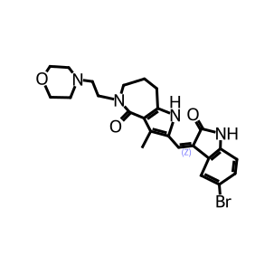 Cc1c(/C=C2\C(=O)Nc3ccc(Br)cc32)[nH]c2c1C(=O)N(CCN1CCOCC1)CCC2